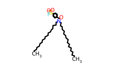 CCCCCCCCCCCCCCCCCCN(CCCCCCCCCCCCCCCCCC)C(=O)c1ccc(S(=O)(=O)F)cc1